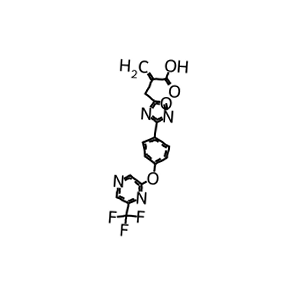 C=C(Cc1nc(-c2ccc(Oc3cncc(C(F)(F)F)n3)cc2)no1)C(=O)O